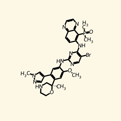 COc1cc([C@]2(C)CNCCO2)c(-c2cnn(C)c2)cc1Nc1ncc(Br)c(Nc2ccc3nccnc3c2P(C)(C)=O)n1